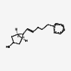 OC1C[C@@H]2C(C=CCCCc3ccccc3)[C@@H]2C1